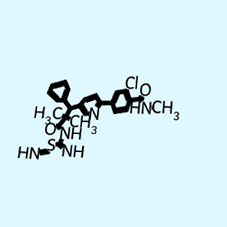 CNC(=O)c1ccc(-c2ccc(C(c3ccccc3)C(C)(C)C(=O)NC(=N)SC=N)cn2)cc1Cl